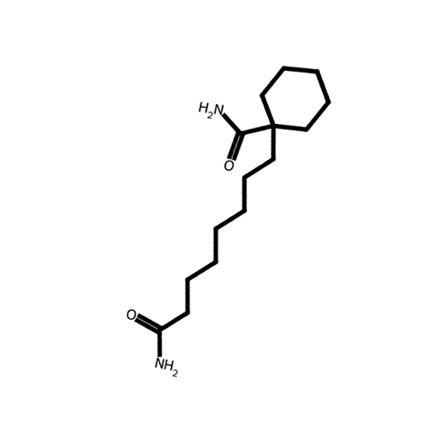 NC(=O)CCCCCCCC1(C(N)=O)CCCCC1